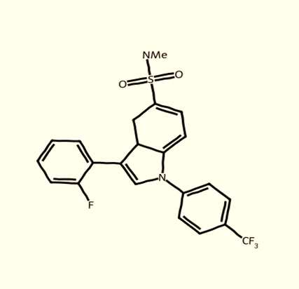 CNS(=O)(=O)C1=CC=C2C(C1)C(c1ccccc1F)=CN2c1ccc(C(F)(F)F)cc1